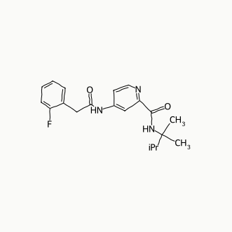 CC(C)C(C)(C)NC(=O)c1cc(NC(=O)Cc2ccccc2F)ccn1